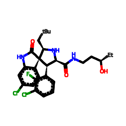 CC[C@@H](O)CCNC(=O)[C@@H]1N[C@H](CC(C)(C)C)[C@]2(C(=O)Nc3cc(Cl)ccc32)[C@H]1c1cccc(Cl)c1F